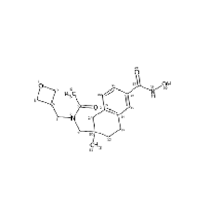 CC(=O)N(CC1COC1)CC1(C)CCc2cc(C(=O)NO)ccc2C1